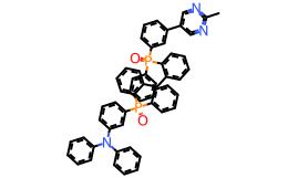 Cc1ncc(-c2cccc(P(=O)(c3ccccc3)c3ccccc3Cc3ccccc3P(=O)(c3ccccc3)c3cccc(N(c4ccccc4)c4ccccc4)c3)c2)cn1